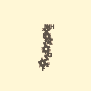 O=C(CCc1cccc(F)c1F)N1CCC(CN2CCC3CC(C4C=NNC4)=NC=C32)CC1